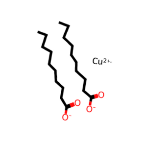 CCCCCCCCCC(=O)[O-].CCCCCCCCCC(=O)[O-].[Cu+2]